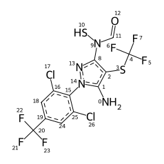 Nc1c(SC(F)(F)F)c(N(S)C=O)nn1-c1c(Cl)cc(C(F)(F)F)cc1Cl